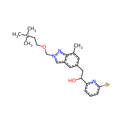 Cc1cc(CC(O)c2cccc(Br)n2)cc2cn(COCC[Si](C)(C)C)nc12